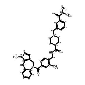 Cc1cc(C(=O)N2Cc3cnn(C)c3Nc3ccccc32)ccc1CNC(=O)N1CCN(Cc2cccc(C(=S)N(C)C)c2)CC1